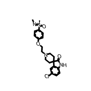 CN=[S@](C)(=O)c1ccc(OCCN2CCC3(CC2)C(=O)Nc2ccc(Cl)cc23)cc1